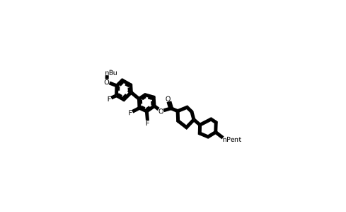 CCCCCC1CCC(C2CCC(C(=O)Oc3ccc(-c4ccc(OCCCC)c(F)c4)c(F)c3F)CC2)CC1